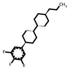 CCC[C@H]1CC[C@H]([C@H]2CC[C@H](c3cc(F)c(F)c(F)c3)CC2)CC1